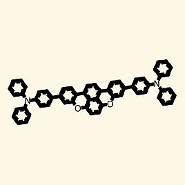 c1ccc(N(c2ccccc2)c2ccc(-c3ccc4c(c3)Oc3ccc5c6c(ccc-4c36)-c3ccc(-c4ccc(N(c6ccccc6)c6ccccc6)cc4)cc3O5)cc2)cc1